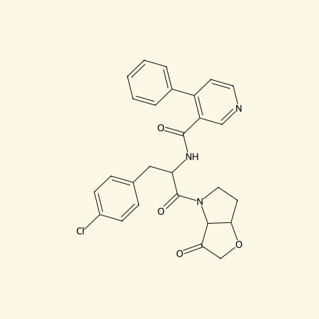 O=C(NC(Cc1ccc(Cl)cc1)C(=O)N1CCC2OCC(=O)C21)c1cnccc1-c1ccccc1